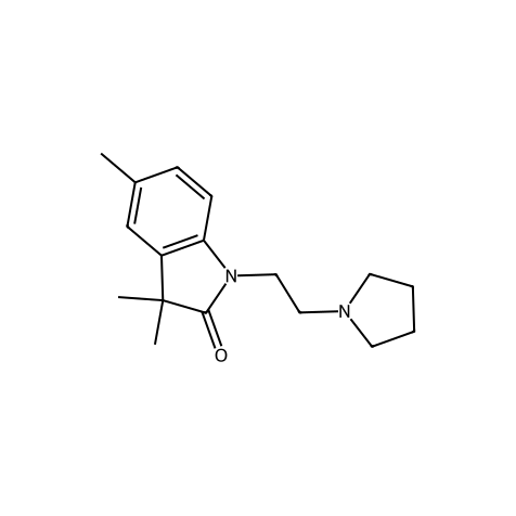 Cc1ccc2c(c1)C(C)(C)C(=O)N2CCN1CCCC1